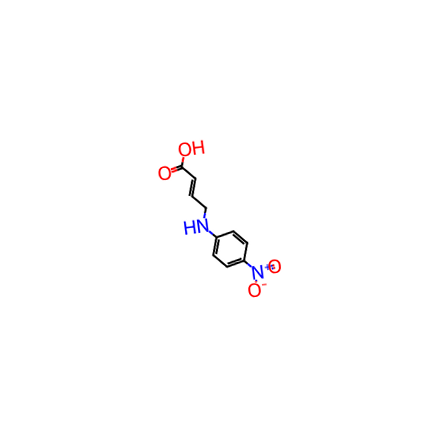 O=C(O)C=CCNc1ccc([N+](=O)[O-])cc1